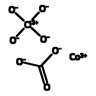 O=C([O-])[O-].[Co+3].[O-][Cl+3]([O-])([O-])[O-]